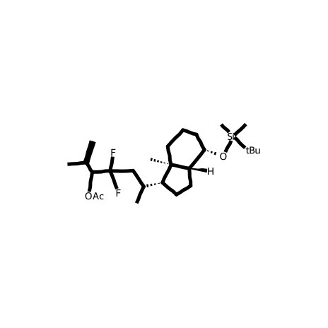 C=C(C)C(OC(C)=O)C(F)(F)CC(C)[C@H]1CC[C@H]2[C@@H](O[Si](C)(C)C(C)(C)C)CCC[C@]12C